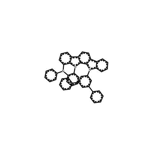 c1ccc(-c2cc(-c3ccccc3)cc(-n3c4ccccc4c4ccc5c6cccc7c6n(c5c43)-c3ccccc3N7c3ccccc3)c2)cc1